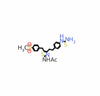 CC(=O)Nc1nc(CCc2ccc(NC(N)=S)cc2)c(Cc2ccc(S(C)(=O)=O)cc2)s1